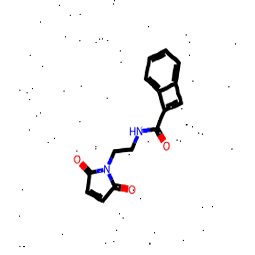 O=C(NCCN1C(=O)C=CC1=O)C1=Cc2ccccc21